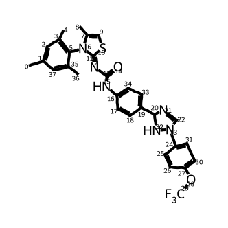 Cc1cc(C)c(-n2c(C)cs/c2=N\C(=O)Nc2ccc(C3N=CN(c4ccc(OC(F)(F)F)cc4)N3)cc2)c(C)c1